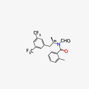 Cc1ccccc1C(=O)N(C=O)[C@H](C)Cc1cc(C(F)(F)F)cc(C(F)(F)F)c1